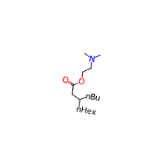 CCCCCCC(CCCC)CC(=O)OCCN(C)C